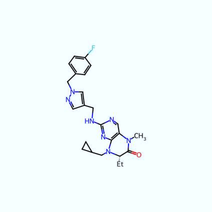 CC[C@H]1C(=O)N(C)c2cnc(NCc3cnn(Cc4ccc(F)cc4)c3)nc2N1CC1CC1